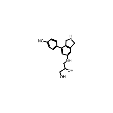 N#Cc1ccc(-c2cc(NCC(O)CO)cc3c2CNC3)cc1